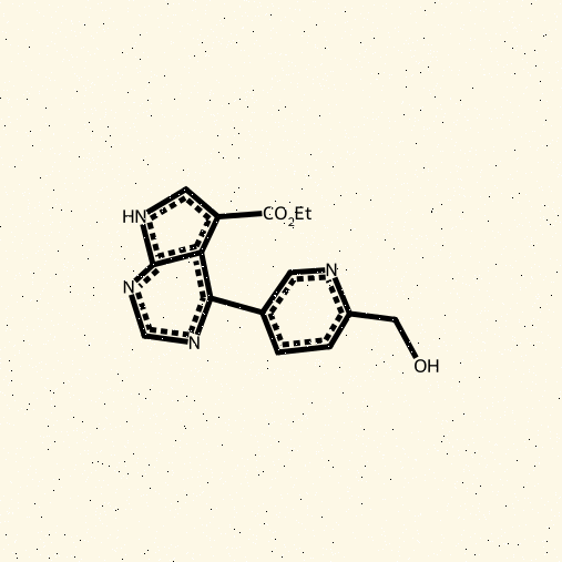 CCOC(=O)c1c[nH]c2ncnc(-c3ccc(CO)nc3)c12